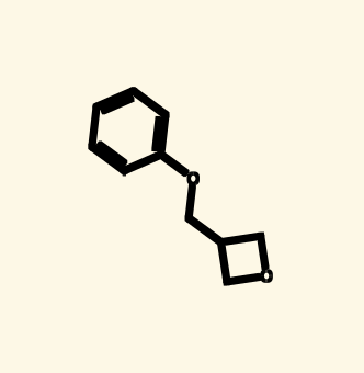 [c]1ccccc1OCC1COC1